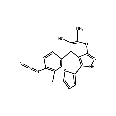 N#CC1=C(N)Oc2n[nH]c(-c3cccs3)c2C1c1ccc(N=[N+]=[N-])c(I)c1